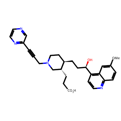 COc1ccc2nccc([C@H](O)CC[C@@H]3CCN(CC#Cc4cnccn4)C[C@H]3CCC(=O)O)c2c1